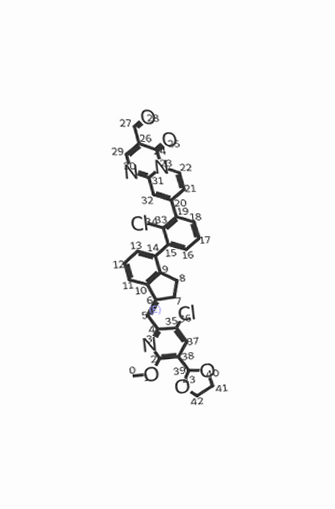 COc1nc(/C=C2\CCc3c2cccc3-c2cccc(-c3ccn4c(=O)c(C=O)cnc4c3)c2Cl)c(Cl)cc1C1OCCO1